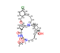 O=C1NS(=O)(=O)N(C[C@@H]2CO2)CC/C=C/C(O)[C@@H]2CC[C@H]2CN2CCCCc3cc(Cl)ccc3COc3ccc1cc32